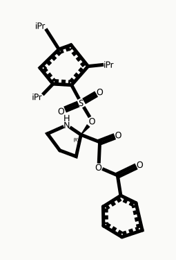 CC(C)c1cc(C(C)C)c(S(=O)(=O)O[C@@]2(C(=O)OC(=O)c3ccccc3)CCCN2)c(C(C)C)c1